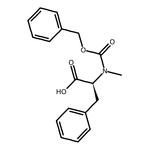 CN(C(=O)OCc1ccccc1)[C@@H](Cc1ccccc1)C(=O)O